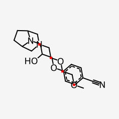 COCCOCCN1CC2CCC(C1)N2CC(O)COc1ccc(C#N)cc1